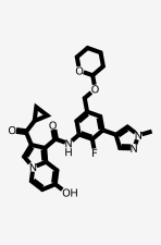 Cn1cc(-c2cc(COC3CCCCO3)cc(NC(=O)c3c(C(=O)C4CC4)cn4ccc(O)cc34)c2F)cn1